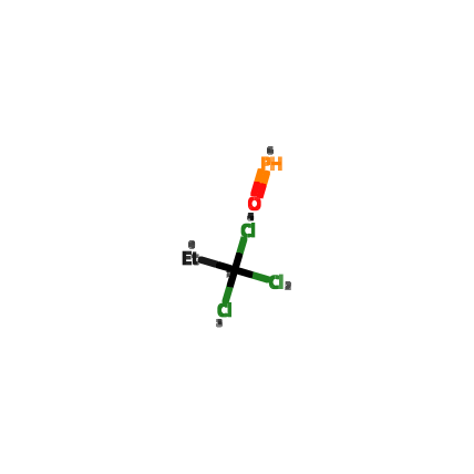 CCC(Cl)(Cl)Cl.O=P